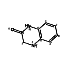 O=C1CNc2[c]cccc2N1